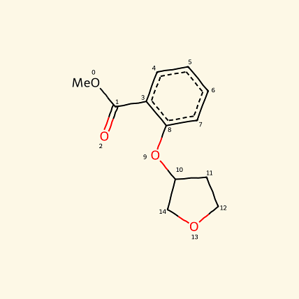 COC(=O)c1ccccc1OC1CCOC1